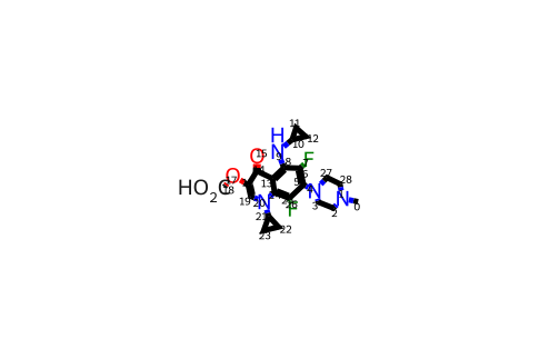 CN1CCN(c2c(F)c(NC3CC3)c3c(=O)c(OC(=O)O)cn(C4CC4)c3c2F)CC1